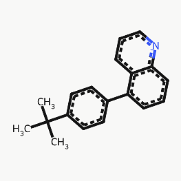 CC(C)(C)c1ccc(-c2cccc3ncccc23)cc1